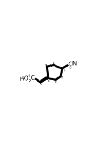 N#CC1CCC(=CC(=O)O)CC1